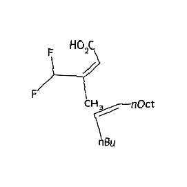 CC(=CC(=O)O)C(F)F.CCCC/C=C\CCCCCCCC